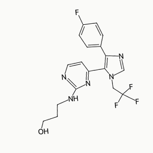 OCCCNc1nccc(-c2c(-c3ccc(F)cc3)ncn2CC(F)(F)F)n1